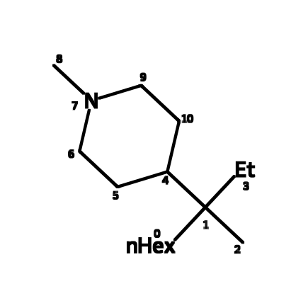 CCCCCCC(C)(CC)C1CCN(C)CC1